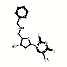 Cc1cn([C@H]2C[C@H](O)[C@@H](CNCc3ccccc3)O2)c(=O)[nH]c1=O